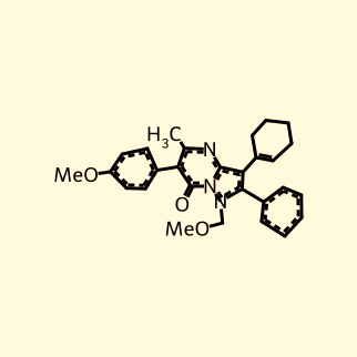 COCn1c(-c2ccccc2)c(C2=CCCCC2)c2nc(C)c(-c3ccc(OC)cc3)c(=O)n21